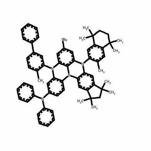 Cc1ccc(-c2ccccc2)cc1N1c2cc(N(c3ccccc3)c3ccccc3)ccc2B2c3cc4c(cc3N(c3cc5c(cc3C)C(C)(C)CCC5(C)C)c3cc(C(C)(C)C)cc1c32)C(C)(C)CC4(C)C